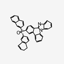 O=P(c1ccc2c(c1)C=CCC2)(c1ccc2ccccc2c1)c1ccc2c(c1)c1ccccc1n1c3ccccc3nc21